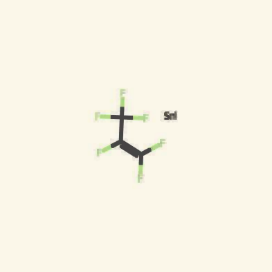 FC(F)=C(F)C(F)(F)F.[Sn]